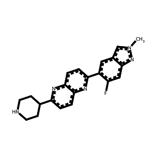 Cn1cc2cc(-c3ccc4nc(C5CCNCC5)ccc4n3)c(F)cc2n1